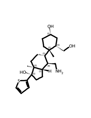 C[C@@]1([C@H]2CC[C@@]3(C)[C@@H](CC[C@@]3(O)c3cccs3)[C@@H]2CN)CC[C@H](O)C[C@@H]1CO